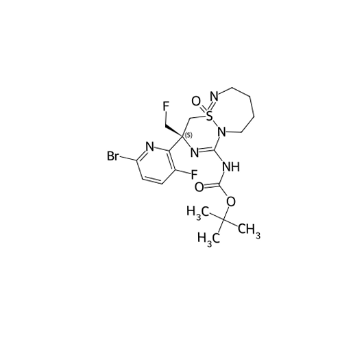 CC(C)(C)OC(=O)NC1=N[C@](CF)(c2nc(Br)ccc2F)CS2(=O)=NCCCCN12